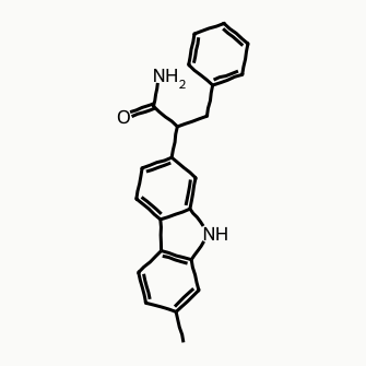 Cc1ccc2c(c1)[nH]c1cc(C(Cc3ccccc3)C(N)=O)ccc12